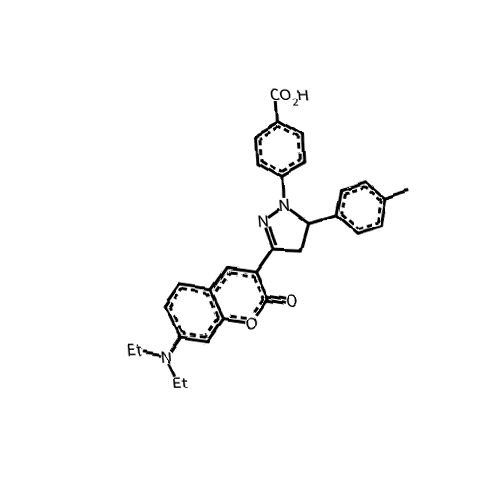 CCN(CC)c1ccc2cc(C3=NN(c4ccc(C(=O)O)cc4)C(c4ccc(C)cc4)C3)c(=O)oc2c1